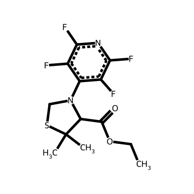 CCOC(=O)C1N(c2c(F)c(F)nc(F)c2F)CSC1(C)C